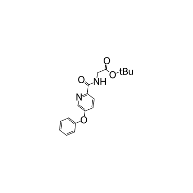 CC(C)(C)OC(=O)CNC(=O)c1ccc(Oc2ccccc2)cn1